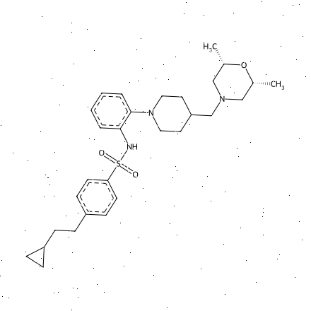 C[C@@H]1CN(CC2CCN(c3ccccc3NS(=O)(=O)c3ccc(CCC4CC4)cc3)CC2)C[C@H](C)O1